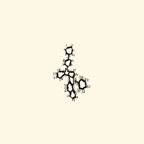 C1=CCC=C(C2=CCC(n3c4ccccc4c4c5c6ccc7ccccc7c6n(-c6ccccc6)c5ccc43)C=C2)C=C1